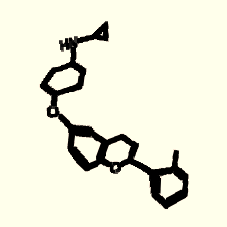 Cc1ccccc1C1CCc2cc(OC3CCC(NC4CC4)CC3)ccc2O1